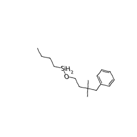 CCCC[SiH2]OCCC(C)(C)Cc1ccccc1